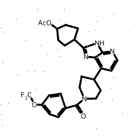 CC(=O)OC1CCC(c2nc3c(C4CCN(C(=O)c5ccc(OC(F)(F)F)cc5)CC4)ccnc3[nH]2)CC1